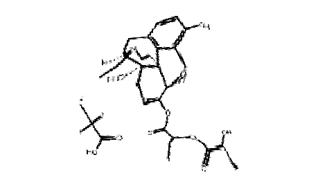 CC(OC(=O)[C@H](C)O)C(=O)OC1=CC[C@@]2(O)[C@H]3Cc4ccc(O)c5c4[C@@]2(CCN3C)[C@H]1O5.O=C(O)C(F)(F)F